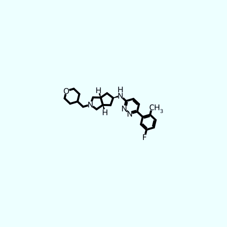 Cc1ccc(F)cc1-c1ccc(N[C@H]2C[C@@H]3CN(CC4CCOCC4)C[C@@H]3C2)nn1